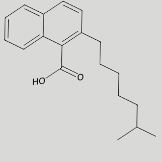 CC(C)CCCCCc1ccc2ccccc2c1C(=O)O